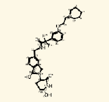 O=C1N[C@H](O)CCC1N1Cc2cc(CNC(=O)C(F)(F)c3cccc(OCCN4CCCCC4)c3)ccc2[C@@H]1O